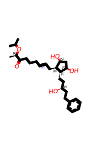 CC(C)O[C@H](C)C(=O)CCC/C=C/C[C@@H]1[C@@H](CC[C@@H](O)CCc2ccccc2)[C@H](O)C[C@@H]1O